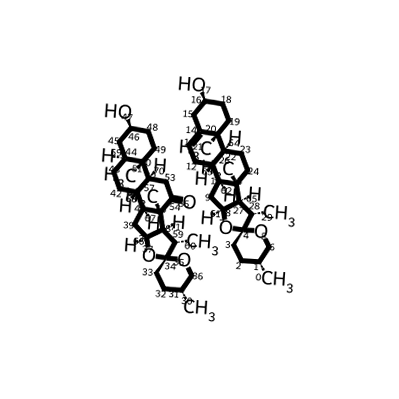 C[C@@H]1CC[C@@]2(OC1)O[C@H]1C[C@H]3[C@@H]4CC=C5C[C@@H](O)CC[C@]5(C)[C@H]4CC[C@]3(C)[C@H]1[C@@H]2C.C[C@@H]1CC[C@@]2(OC1)O[C@H]1C[C@H]3[C@@H]4CC[C@H]5C[C@@H](O)CC[C@]5(C)[C@H]4CC(=O)[C@]3(C)[C@H]1[C@@H]2C